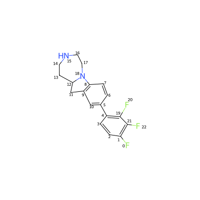 Fc1ccc(-c2ccc3c(c2)CC2CCNCCN32)c(F)c1F